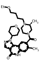 CCOCCCCN1CCN(C(=O)c2cc3c(cc2C)[nH]c(=O)c2cnn(C4CCOCC4)c23)C[C@@H]1C